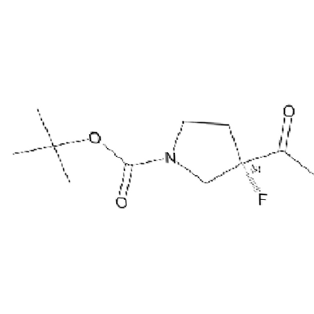 CC(=O)[C@]1(F)CCN(C(=O)OC(C)(C)C)C1